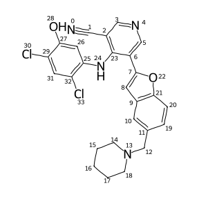 N#Cc1cncc(-c2cc3cc(CN4CCCCC4)ccc3o2)c1Nc1cc(O)c(Cl)cc1Cl